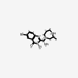 CCC[C@H](c1nc2ccc(Br)cc2c(=O)n1CC)N1CCCNC(C)C1